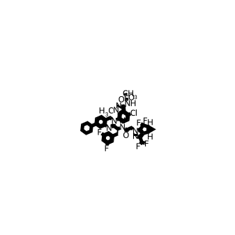 Cn1nc(NS(C)(=O)=O)c2c(Cl)ccc(N3Cc4ccc(C5CCCCC5)cc4N=C3[C@H](Cc3cc(F)cc(F)c3)NC(=O)Cn3nc(C(F)F)c4c3C(F)(F)[C@@H]3C[C@H]43)c21